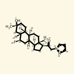 C[C@@]1(O)CC[C@@H]2[C@H]3CC[C@]4(C)[C@@H](C(=O)Cn5cccn5)CC[C@H]4[C@@H]3C[C@@H](F)[C@@H]2C1